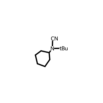 CC(C)(C)N(C#N)C1CCCCC1